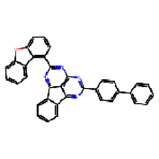 c1ccc(-c2ccc(-c3nc4c5c(nc(-c6cccc7oc8ccccc8c67)nc5n3)-c3ccccc3-4)cc2)cc1